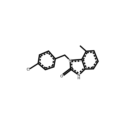 Cc1cccc2[nH]c(=O)n(Cc3ccc(Cl)cc3)c12